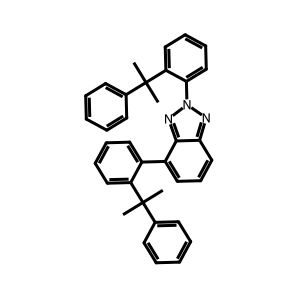 CC(C)(c1ccccc1)c1ccccc1-c1cccc2nn(-c3ccccc3C(C)(C)c3ccccc3)nc12